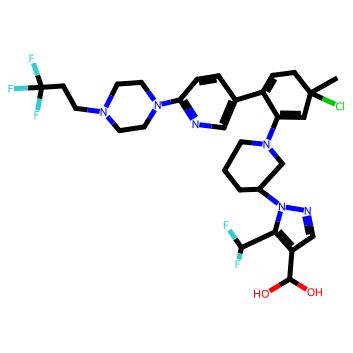 CC1(Cl)C=C(N2CCCC(n3ncc(C(O)O)c3C(F)F)C2)C(c2ccc(N3CCN(CCC(F)(F)F)CC3)nc2)=CC1